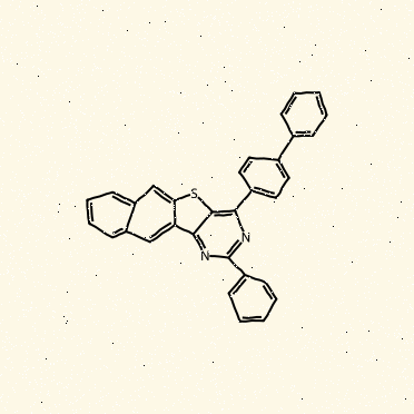 c1ccc(-c2ccc(-c3nc(-c4ccccc4)nc4c3sc3cc5ccccc5cc34)cc2)cc1